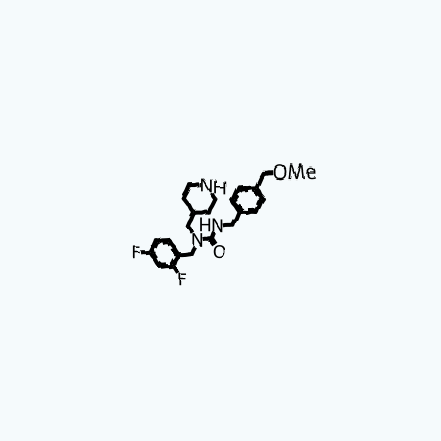 COCc1ccc(CNC(=O)N(Cc2ccc(F)cc2F)CC2CCNCC2)cc1